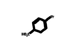 CC(C)C1=CCC(C(=O)O)C=C1